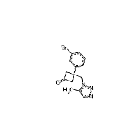 Cc1cnnn1CC1(c2cccc(Br)c2)CC(=O)C1